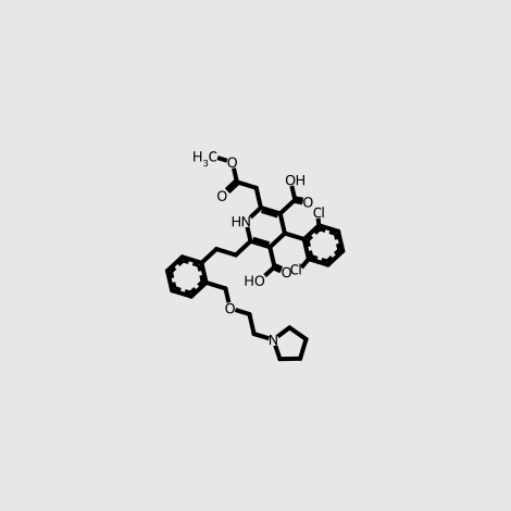 COC(=O)CC1=C(C(=O)O)C(c2c(Cl)cccc2Cl)C(C(=O)O)=C(CCc2ccccc2COCCN2CCCC2)N1